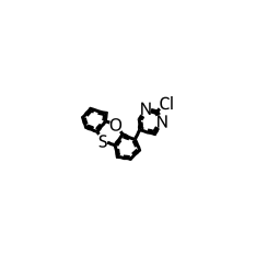 Clc1ncc(-c2cccc3c2Oc2ccccc2S3)cn1